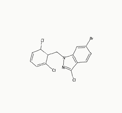 ClC1=CC=CC(Cl)C1Cn1nc(Cl)c2ccc(Br)cc21